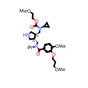 COCCCOc1cc(C(=O)N(C[C@@H]2CNC[C@H]2CN(C(=O)OCCOC)C2CC2)C(C)C)ccc1OC